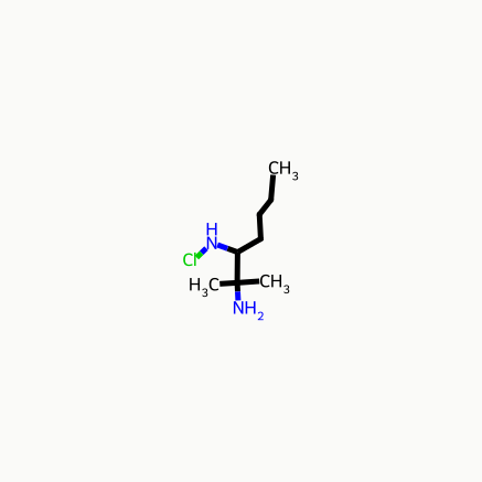 CCCCC(NCl)C(C)(C)N